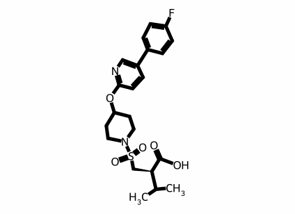 CC(C)[C@@H](CS(=O)(=O)N1CCC(Oc2ccc(-c3ccc(F)cc3)cn2)CC1)C(=O)O